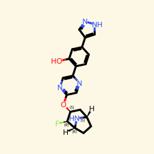 Oc1cc(-c2cn[nH]c2)ccc1-c1cnc(O[C@H]2C[C@@H]3CC[C@@H](N3)[C@H]2F)cn1